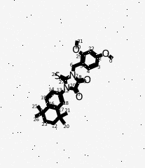 COc1ccc(CN2C(=O)C(=O)N(c3ccc4c(c3)C(C)(C)CCC4(C)C)C2=S)c(OC)c1